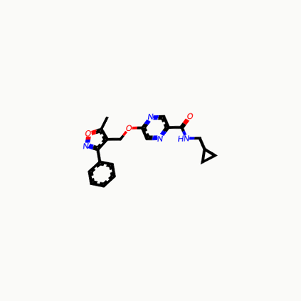 Cc1onc(-c2ccccc2)c1COc1cnc(C(=O)NCC2CC2)cn1